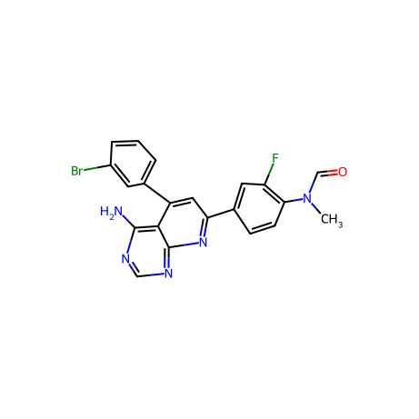 CN(C=O)c1ccc(-c2cc(-c3cccc(Br)c3)c3c(N)ncnc3n2)cc1F